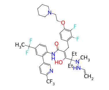 C=CNN(C)C(CC)(CC)/C(O)=C(\Cc1ccc(OCCN2CCCCC2)c(F)c1F)C(=O)Nc1ccc(C(C)(F)F)cc1-c1ccc(C(F)(F)F)nc1